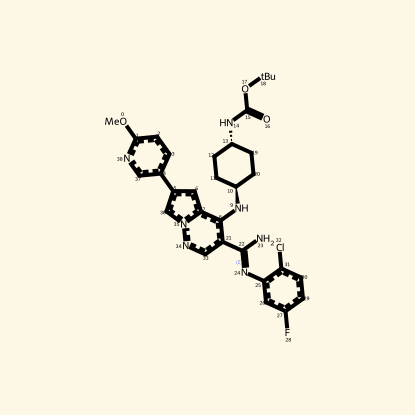 COc1ccc(-c2cc3c(N[C@H]4CC[C@H](NC(=O)OC(C)(C)C)CC4)c(/C(N)=N/c4cc(F)ccc4Cl)cnn3c2)cn1